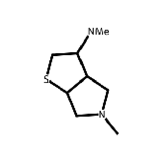 CNC1CSC2CN(C)CC12